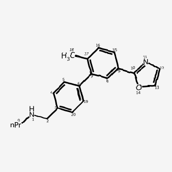 CCCNCc1ccc(-c2cc(-c3ncco3)ccc2C)cc1